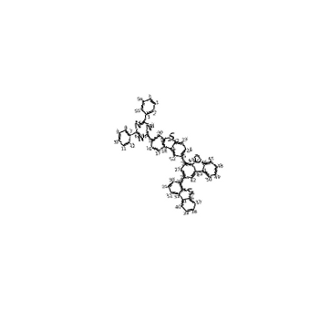 c1ccc(-c2nc(-c3ccccc3)nc(-c3ccc4c(c3)sc3ccc(-c5cc(-c6cccc7c6sc6ccccc67)cc6c5oc5ccccc56)cc34)n2)cc1